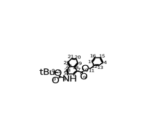 CC(C)(C)OC(=O)Nc1cc(C(=O)OCc2ccccc2)c2ccccc2c1